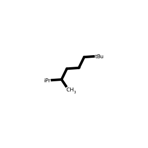 CC(C)C(C)C[CH]CC(C)(C)C